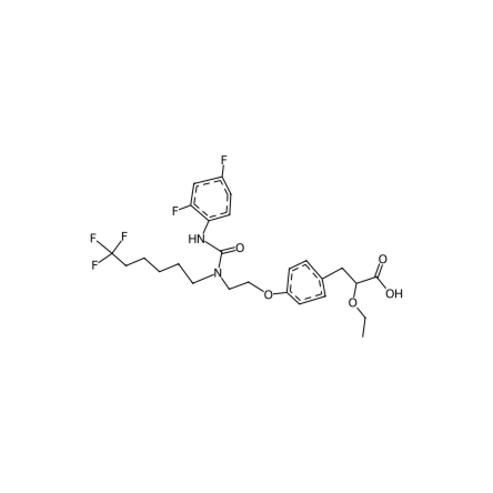 CCOC(Cc1ccc(OCCN(CCCCCC(F)(F)F)C(=O)Nc2ccc(F)cc2F)cc1)C(=O)O